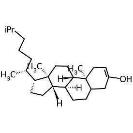 CC(C)CCC[C@@H](C)[C@H]1CC[C@H]2[C@@H]3CCC4CC(O)=CC[C@]4(C)[C@H]3CC[C@]12C